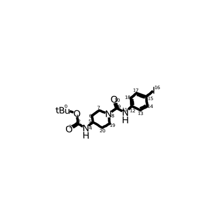 CC(C)(C)OC(=O)NC1CCN(C(=O)Nc2ccc(I)cc2)CC1